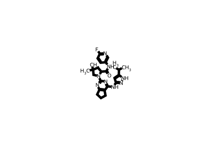 CC(C)c1cc(Nc2nc(N3CC(C)(C)CC3C(=O)Nc3ccc(F)nc3)nc3c2CCC3)n[nH]1